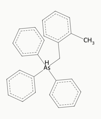 Cc1ccccc1C[AsH](c1ccccc1)(c1ccccc1)c1ccccc1